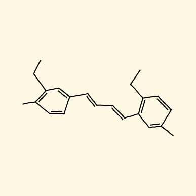 CCc1cc(C=CC=Cc2cc(C)ccc2CC)ccc1C